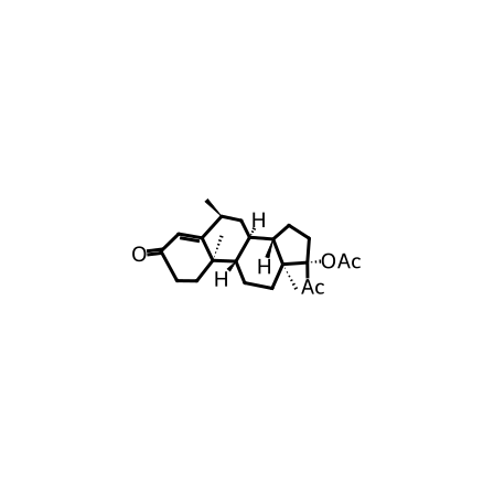 CC(=O)O[C@@]1(C(C)=O)CC[C@H]2[C@@H]3C[C@H](C)C4=CC(=O)CC[C@]4(C)[C@H]3CC[C@@]21C